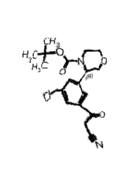 CC(C)(C)OC(=O)N1CCOC[C@H]1c1cc(Cl)cc(C(=O)CC#N)c1